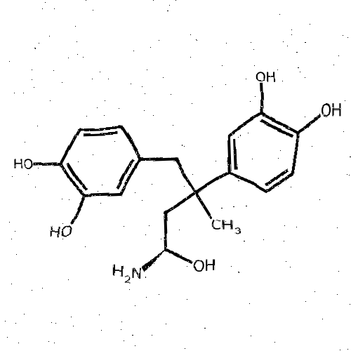 CC(Cc1ccc(O)c(O)c1)(C[C@H](N)O)c1ccc(O)c(O)c1